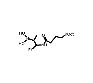 CCCCCCCCCCCC(=O)NC(CC)C(C)N(O)O